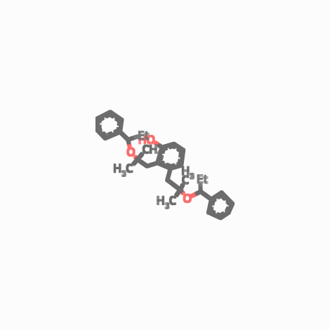 CCC(OC(C)(C)Cc1cccc(O)c1CC(C)(C)OC(CC)c1ccccc1)c1ccccc1